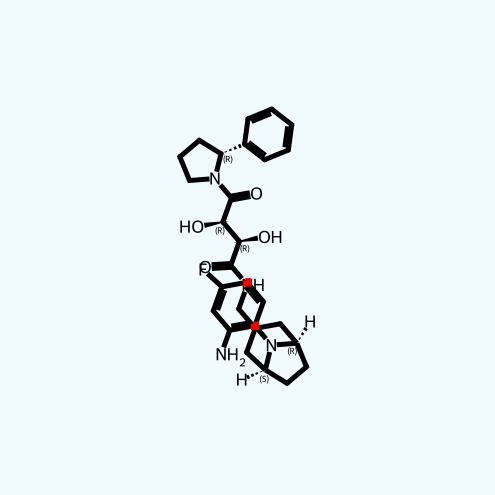 Nc1cc(F)ccc1N1[C@@H]2CC[C@H]1CC(CNC(=O)[C@H](O)[C@@H](O)C(=O)N1CCC[C@@H]1c1ccccc1)C2